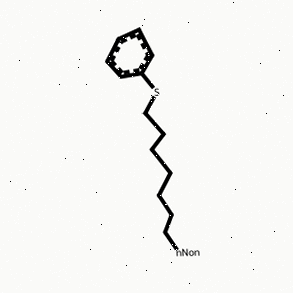 CCCCCCCCCCCCCCC[CH]Sc1ccccc1